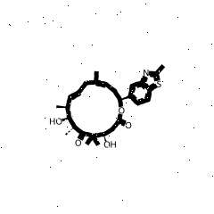 C/C1=C/C[C@@H](c2ccc3sc(C)nc3c2)OC(=O)C[C@H](O)C(C)(C)C(=O)[C@H](C)[C@@H](O)[C@@H](C)/C=C/C1